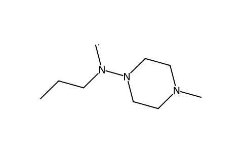 [CH2]N(CCC)N1CCN(C)CC1